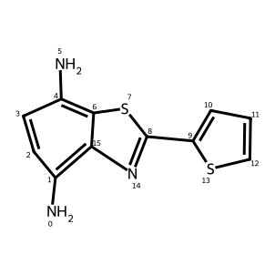 Nc1ccc(N)c2sc(-c3cccs3)nc12